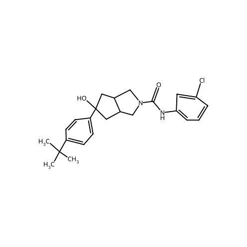 CC(C)(C)c1ccc(C2(O)CC3CN(C(=O)Nc4cccc(Cl)c4)CC3C2)cc1